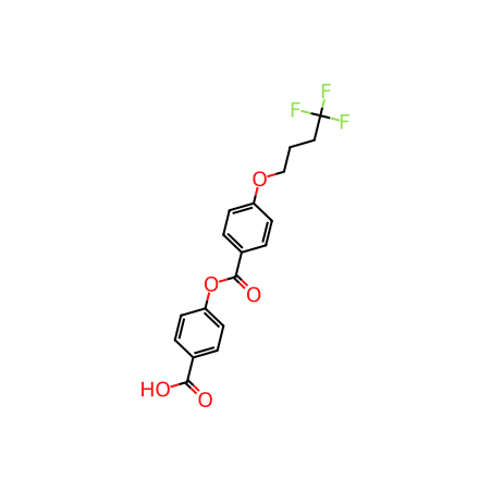 O=C(O)c1ccc(OC(=O)c2ccc(OCCCC(F)(F)F)cc2)cc1